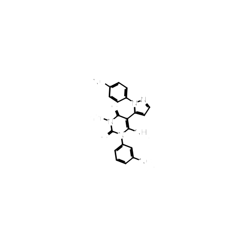 CCCn1c(=O)c(-c2ccnn2-c2ccc(C#N)cc2)c(N)n(-c2cccc([N+](=O)[O-])c2)c1=O